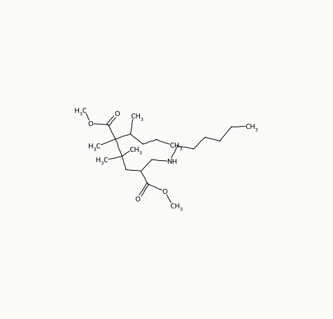 CCCCCCNCC(CC(C)(C)C(C)(C(=O)OC)C(C)CCC)C(=O)OC